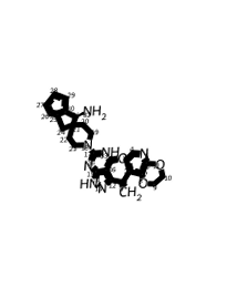 C=C(c1ccnc2c1OCCO2)c1n[nH]c2nc(N3CCC4(CC3)Cc3ccccc3[C@H]4N)[nH]c(=O)c12